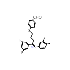 Cc1ccc(/C=C(\CCCSc2ccc(C=O)cc2)c2cc(F)cc(F)c2)cc1C